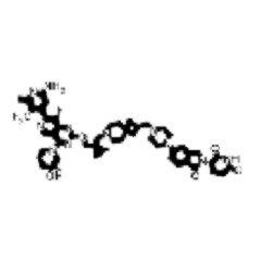 Cc1nc(N)cc(-c2ncc3c(N4CCC[C@@](C)(O)C4)nc(OCC4(CN5CCC6(CC5)CC(CN5CCN(c7ccc8c(c7)CN([C@H]7CCC(=O)NC7=O)C8=O)CC5)C6)CC4)nc3c2F)c1C(F)(F)F